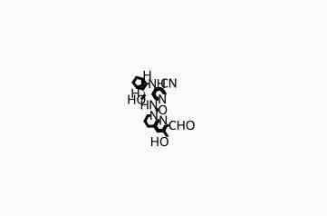 N#Cc1cnc(NC(=O)N2CCCc3cc(CO)c(C=O)nc32)cc1N[C@@H]1[C@H]2CC[C@H](C2)[C@H]1CO